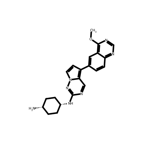 COc1ncnc2ccc(-c3ccn4nc(N[C@H]5CC[C@@H](N)CC5)ncc34)cc12